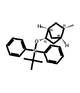 C[C@H]1C[C@H]2C[C@@H]1C[C@@H]2O[Si](c1ccccc1)(c1ccccc1)C(C)(C)C